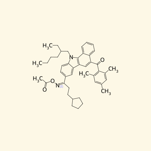 CCCCC(CC)Cn1c2ccc(/C(CCC3CCCC3)=N\OC(C)=O)cc2c2cc(C(=O)c3c(C)cc(C)cc3C)c3ccccc3c21